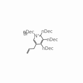 C=CCc1c[n+](CCCCCCCCCC)c(CCCCCCCCCC)c(CCCCCCCCCC)c1CCCCCCCCCC.[Br-]